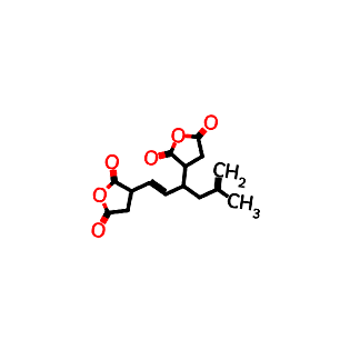 C=C(C)CC(C=CC1CC(=O)OC1=O)C1CC(=O)OC1=O